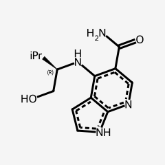 CC(C)[C@H](CO)Nc1c(C(N)=O)cnc2[nH]ccc12